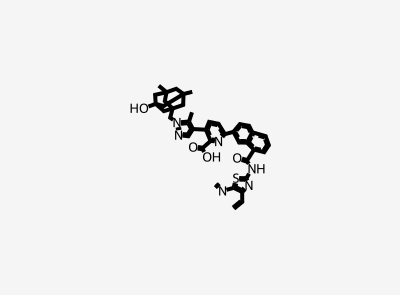 C=Cc1nc(NC(=O)c2cccc3ccc(-c4ccc(-c5cnn(CC67CC8(C)CC(C)(CC(O)(C8)C6)C7)c5C)c(C(=O)O)n4)cc23)sc1N=C